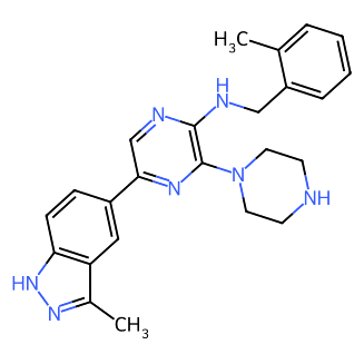 Cc1ccccc1CNc1ncc(-c2ccc3[nH]nc(C)c3c2)nc1N1CCNCC1